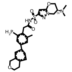 Cc1cc(-c2ccc3c(c2)COCC3)cc(P)c1CC(=O)NS(=O)(=O)c1cc2n(n1)C[C@H](N(C)C)CO2